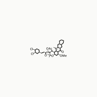 COc1cc2c(c3c1c(=O)c1cc4ccccc4cc1n3C)[C@H](OC(C)=O)[C@H](OC(=O)C=Cc1ccc(Cl)c(Cl)c1)C(C)(C)O2